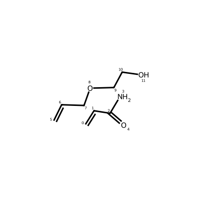 C=CC(N)=O.C=CCOCCO